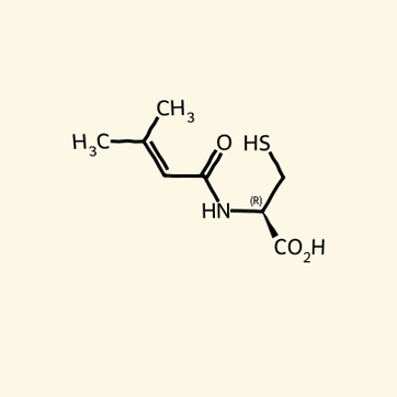 CC(C)=CC(=O)N[C@@H](CS)C(=O)O